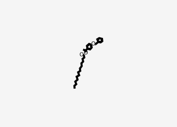 CCCCCCCCCCCCCCCC(=O)OC(C)c1ccc(OCc2ccccc2)cc1